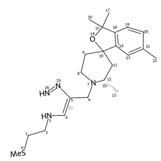 CSCCN/C=C(/CN1CCC2(C[C@@H]1C)OC(C)(C)c1ccc(C)cc12)N=N